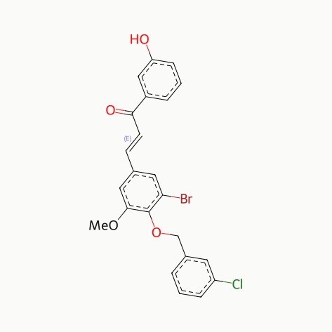 COc1cc(/C=C/C(=O)c2cccc(O)c2)cc(Br)c1OCc1cccc(Cl)c1